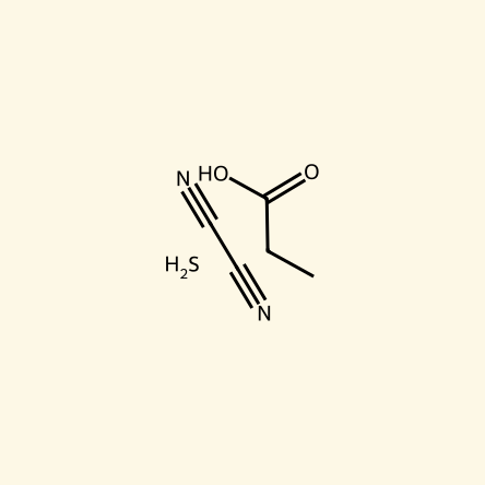 CCC(=O)O.N#CC#N.S